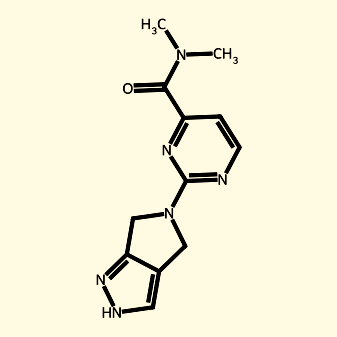 CN(C)C(=O)c1ccnc(N2Cc3c[nH]nc3C2)n1